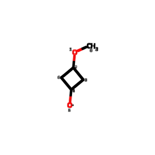 COC1CC([O])C1